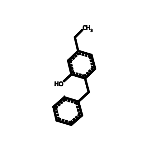 CCc1ccc(Cc2[c]cccc2)c(O)c1